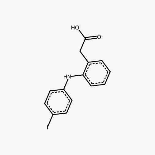 O=C(O)Cc1ccccc1Nc1ccc(I)cc1